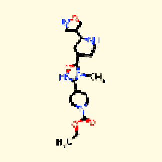 CCOC(=O)N1CCC(C2NOC(C3CCNC(C4CNOC4)C3)N2C)CC1